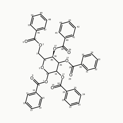 O=C(OCC1OC(OC(=O)c2ccccc2)C(OC(=O)c2ccccc2)C(OC(=O)c2ccccc2)[C@@H]1OC(=O)c1ccccc1)c1ccccc1